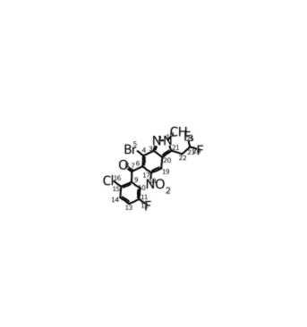 Cn1nc2c(Br)c(C(=O)c3cc(F)ccc3Cl)c([N+](=O)[O-])cc2c1CC(F)F